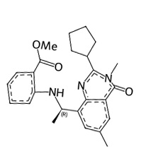 COC(=O)c1ccccc1N[C@H](C)c1cc(C)cc2c(=O)n(C)c(C3CCCC3)nc12